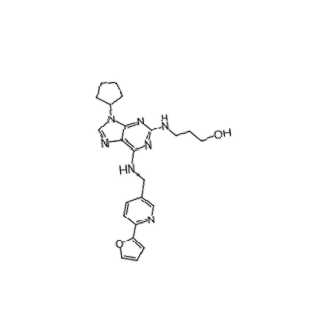 OCCCNc1nc(NCc2ccc(-c3ccco3)nc2)c2ncn(C3CCCC3)c2n1